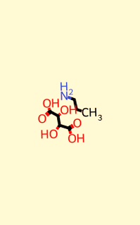 CCCN.O=C(O)C(O)C(O)C(=O)O